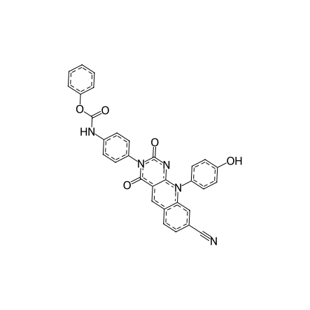 N#Cc1ccc2cc3c(=O)n(-c4ccc(NC(=O)Oc5ccccc5)cc4)c(=O)nc-3n(-c3ccc(O)cc3)c2c1